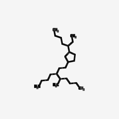 CCCCC(C)C(CCCN)CCC1CCC(C(CC)CCCC)C1